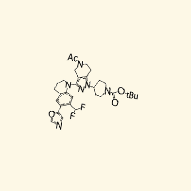 CC(=O)N1CCc2c(c(N3CCCc4cc(-c5cnco5)c(C(F)F)cc43)nn2C2CCN(C(=O)OC(C)(C)C)CC2)C1